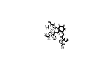 CCC[SiH2]c1cccc(CCC(=O)OCC)c1CCC(=O)OCC